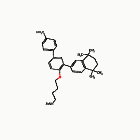 CC(=O)NCCCCOc1ccc(-c2ccc(C(=O)O)cc2)cc1-c1ccc2c(c1)C(C)(C)CCC2(C)C